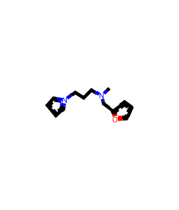 CN(CCCn1cccc1)Cc1ccco1